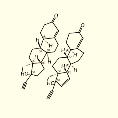 C#C[C@]1(O)C=C[C@H]2[C@@H]3CCC4=CC(=O)CC[C@@H]4[C@H]3CC[C@@]21CC.C#C[C@]1(O)CC[C@H]2[C@@H]3CCC4=CC(=O)CC[C@@H]4[C@H]3CC[C@@]21CC